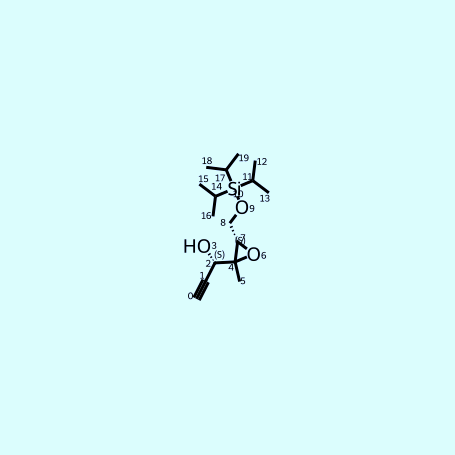 C#C[C@H](O)C1(C)O[C@H]1CO[Si](C(C)C)(C(C)C)C(C)C